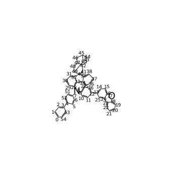 c1ccc(-c2ccc(N(c3ccc(-c4ccc5oc6ccccc6c5c4)cc3)c3cccc4c3-c3ccccc3C43CC4CCC5CC4CC3C5)cc2)cc1